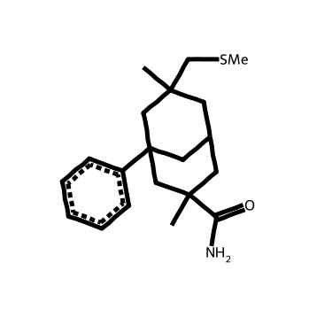 CSCC1(C)CC2CC(C)(C(N)=O)CC(c3ccccc3)(C2)C1